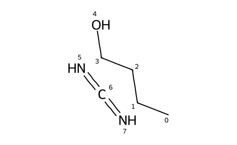 CCCCO.N=C=N